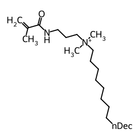 C=C(C)C(=O)NCCC[N+](C)(C)CCCCCCCCCCCCCCCCCC